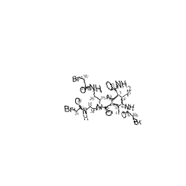 NC(=O)c1c(I)c(NC(=O)CBr)c(I)c(C(=O)N(CCNC(=O)CBr)CCNC(=O)CBr)c1I